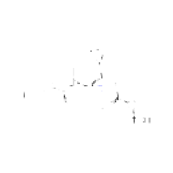 CC(C)(C)OC(=O)C/C(=C/NC(=O)OC(C)(C)C)C1CC1